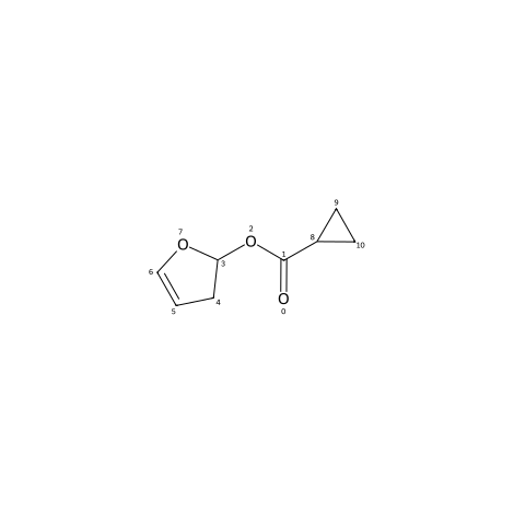 O=C(OC1CC=CO1)C1CC1